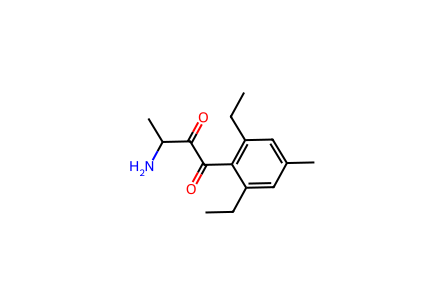 CCc1cc(C)cc(CC)c1C(=O)C(=O)C(C)N